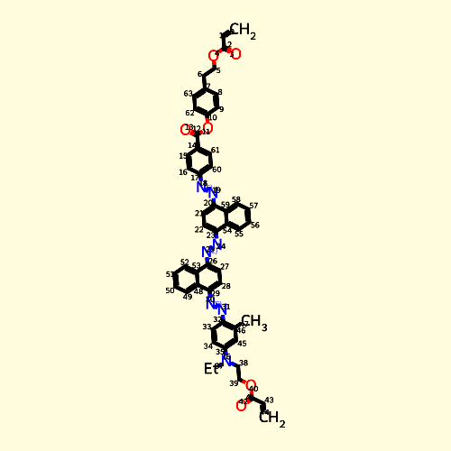 C=CC(=O)OCCc1ccc(OC(=O)c2ccc(/N=N/c3ccc(/N=N/c4ccc(/N=N/c5ccc(N(CC)CCOC(=O)C=C)cc5C)c5ccccc45)c4ccccc34)cc2)cc1